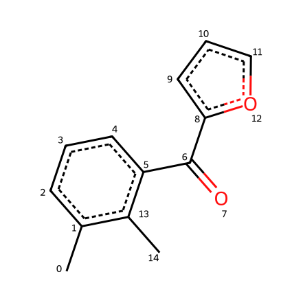 Cc1cccc(C(=O)c2ccco2)c1C